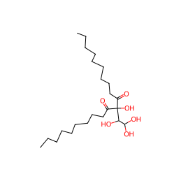 CCCCCCCCCC(=O)C(O)(C(=O)CCCCCCCCC)C(O)C(O)O